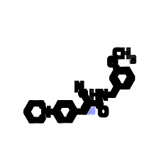 COc1cccc(CNC(=O)/C(C#N)=C/c2ccc(N3CCCCC3)cc2)c1